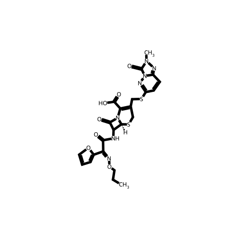 CCCON=C(C(=O)NC1C(=O)N2C(C(=O)O)=C(CSc3ccc4nn(C)c(=O)n4n3)CS[C@@H]12)c1ccco1